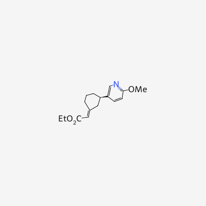 CCOC(=O)C=C1CCC[C@@H](c2ccc(OC)nc2)C1